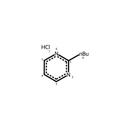 CCCCc1ncccn1.Cl